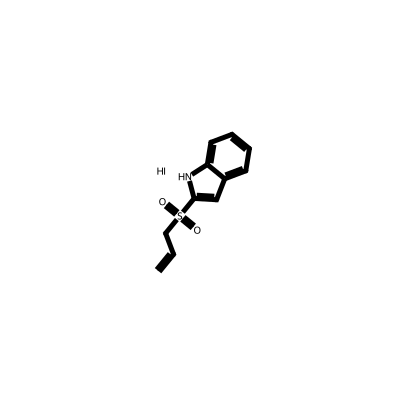 C=CCS(=O)(=O)c1cc2ccccc2[nH]1.I